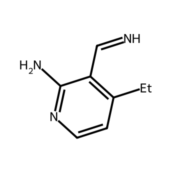 CCc1ccnc(N)c1C=N